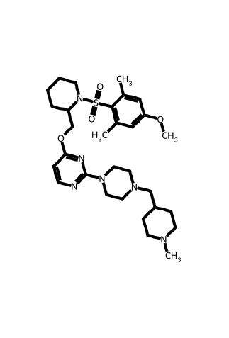 COc1cc(C)c(S(=O)(=O)N2CCCCC2COc2ccnc(N3CCN(CC4CCN(C)CC4)CC3)n2)c(C)c1